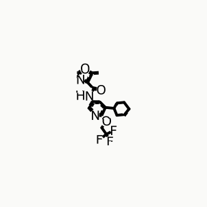 Cc1ocnc1C(=O)Nc1cnc(OCC(F)(F)F)c(C2CCCCC2)c1